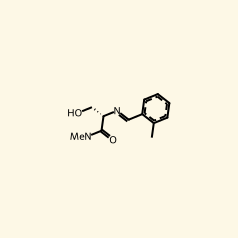 CNC(=O)[C@H](CO)/N=C/c1ccccc1C